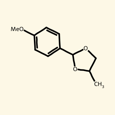 COc1ccc(C2OCC(C)O2)cc1